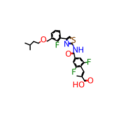 CC(=Cc1c(F)cc(C(=O)Nc2nc(-c3cccc(COCCC(C)C)c3F)cs2)cc1F)C(=O)O